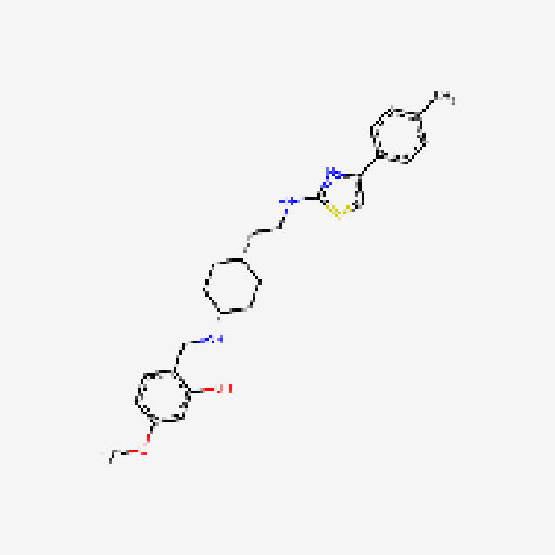 COc1ccc(CN[C@H]2CC[C@@H](CCNc3nc(-c4ccc(C)cc4)cs3)CC2)c(O)c1